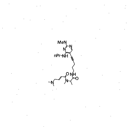 CCCNc1nc(NC)ncc1C#CCCCNC(=O)C(C)N(C)C(=O)/C=C/CN(C)C